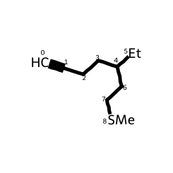 C#CCCC(CC)CCSC